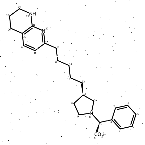 O=C(O)[C@H](c1ccccc1)N1CC[C@@H](CCCCCc2ccc3c(n2)NCCC3)C1